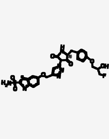 NS(=O)(=O)c1nc2ccc(OCc3cn(C4C(=O)N[C@@H](Cc5ccc(OCC(O)CF)cc5)C4=O)nn3)cc2s1